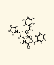 CN(C(=O)OCc1ccccc1)N(CCN1CCCC1)C(=O)OCc1ccccc1